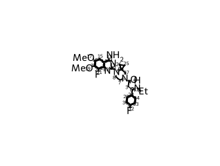 CCN[C@H](CC(=O)N1CCN(c2nc(N)c3cc(OC)c(OC)c(F)c3n2)C2(CC2)C1)c1ccc(F)cc1